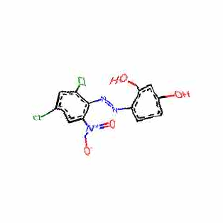 O=[N+]([O-])c1cc(Cl)cc(Cl)c1N=Nc1ccc(O)cc1O